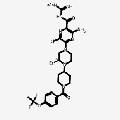 CC[C@H]1CN(c2nc(N)c(C(=O)NC(=N)NC)nc2Cl)CCN1C1CCN(C(=O)c2ccc(OC(C)(F)F)cc2)CC1